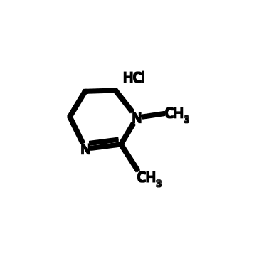 CC1=NCCCN1C.Cl